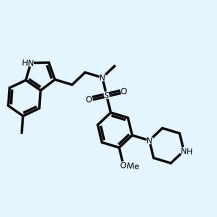 COc1ccc(S(=O)(=O)N(C)CCc2c[nH]c3ccc(C)cc23)cc1N1CCNCC1